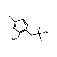 COc1nc(Cl)ccc1CC(C)(O)C(C)=O